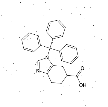 O=C(O)C1CCc2ncn(C(c3ccccc3)(c3ccccc3)c3ccccc3)c2C1